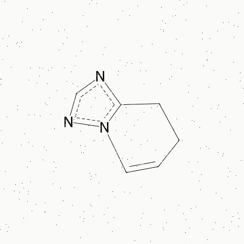 C1=Cn2ncnc2CC1